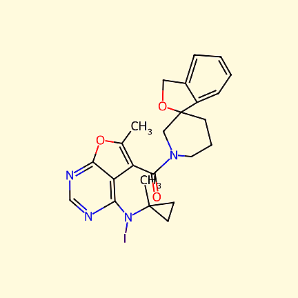 Cc1oc2ncnc(N(I)C3(C)CC3)c2c1C(=O)N1CCCC2(C1)OCc1ccccc12